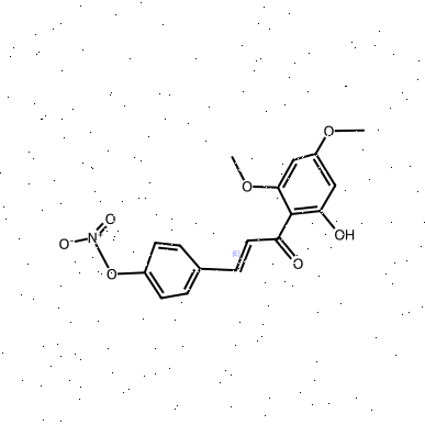 COc1cc(O)c(C(=O)/C=C/c2ccc(O[N+](=O)[O-])cc2)c(OC)c1